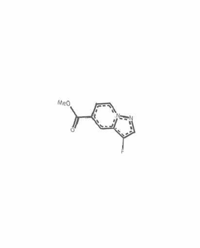 COC(=O)c1ccn2ncc(F)c2c1